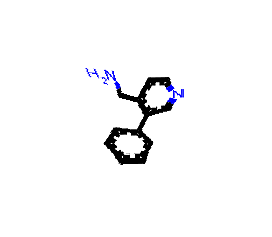 NCc1ccncc1-c1ccccc1